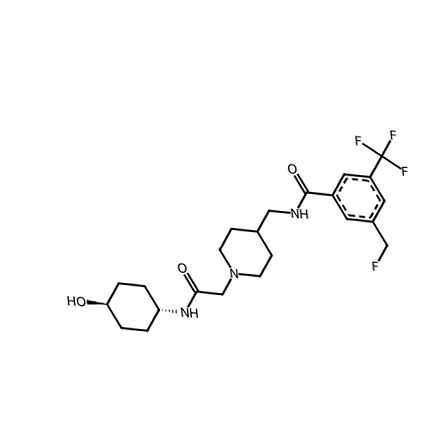 O=C(CN1CCC(CNC(=O)c2cc(CF)cc(C(F)(F)F)c2)CC1)N[C@H]1CC[C@H](O)CC1